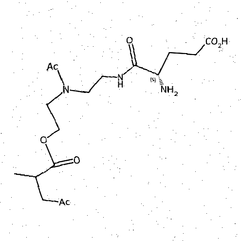 CC(=O)CC(C)C(=O)OCCN(CCNC(=O)[C@@H](N)CCC(=O)O)C(C)=O